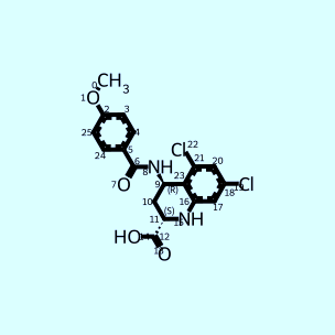 COc1ccc(C(=O)N[C@@H]2C[C@@H](C(=O)O)Nc3cc(Cl)cc(Cl)c32)cc1